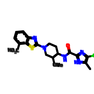 COC1CN(c2nc3cccc(C(=O)O)c3s2)CCC1NC(=O)c1nc(Cl)c(C)[nH]1